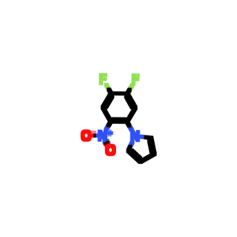 O=[N+]([O-])c1cc(F)c(F)cc1-n1cccc1